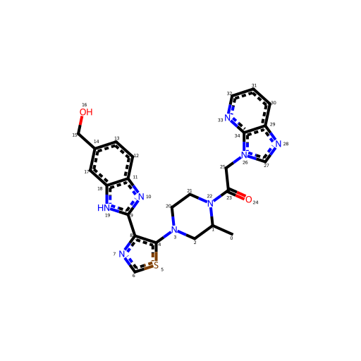 CC1CN(c2scnc2-c2nc3ccc(CO)cc3[nH]2)CCN1C(=O)Cn1cnc2cccnc21